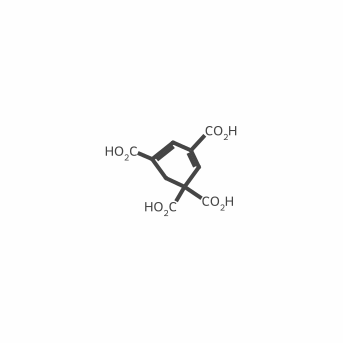 O=C(O)C1=CC(C(=O)O)(C(=O)O)CC(C(=O)O)=C1